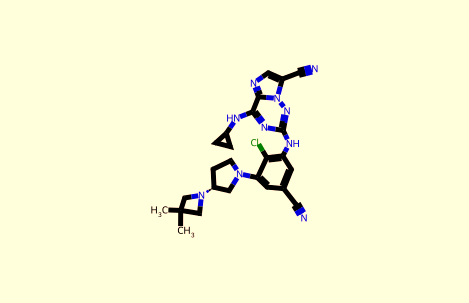 CC1(C)CN([C@@H]2CCN(c3cc(C#N)cc(Nc4nc(NC5CC5)c5ncc(C#N)n5n4)c3Cl)C2)C1